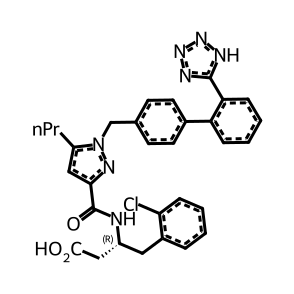 CCCc1cc(C(=O)N[C@@H](CC(=O)O)Cc2ccccc2Cl)nn1Cc1ccc(-c2ccccc2-c2nnn[nH]2)cc1